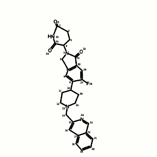 O=C1CCC(N2Cc3cc(C4CCN(Cc5cc6ccccc6cn5)CC4)c(F)cc3C2=O)C(=O)N1